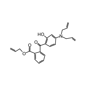 C=CCOC(=O)c1ccccc1C(=O)c1ccc(N(CC=C)CC=C)cc1O